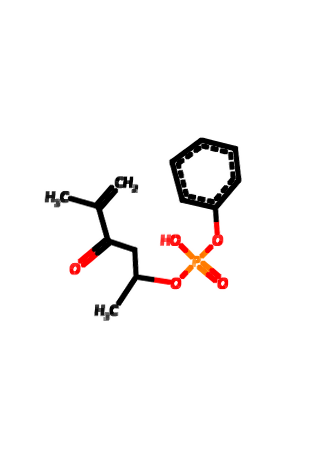 C=C(C)C(=O)CC(C)OP(=O)(O)Oc1ccccc1